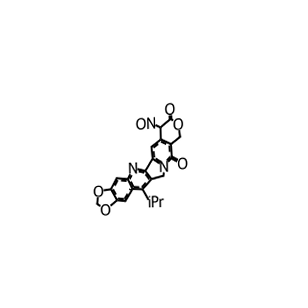 CC(C)c1c2c(nc3cc4c(cc13)OCO4)-c1cc3c(c(=O)n1C2)COC(=O)C3N=O